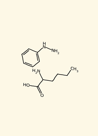 CCCCC(N)C(=O)O.NNc1ccccc1